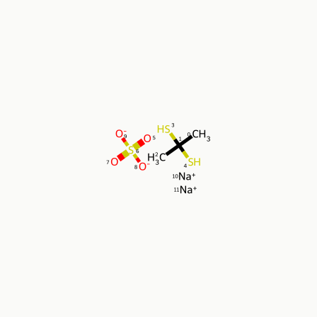 CC(C)(S)S.O=S(=O)([O-])[O-].[Na+].[Na+]